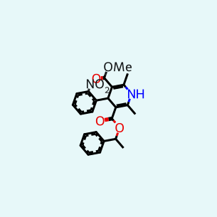 COC(=O)C1=C(C)NC(C)=C(C(=O)OC(C)c2ccccc2)C1c1ccccc1[N+](=O)[O-]